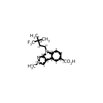 Cn1cc2c3cc(C(=O)O)ccc3n(CCC(C)(C)C(F)(F)F)c2n1